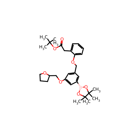 CC(C)(C)OC(=O)Cc1ccccc1OCc1cc(OCC2CCCO2)cc(B2OC(C)(C)C(C)(C)O2)c1